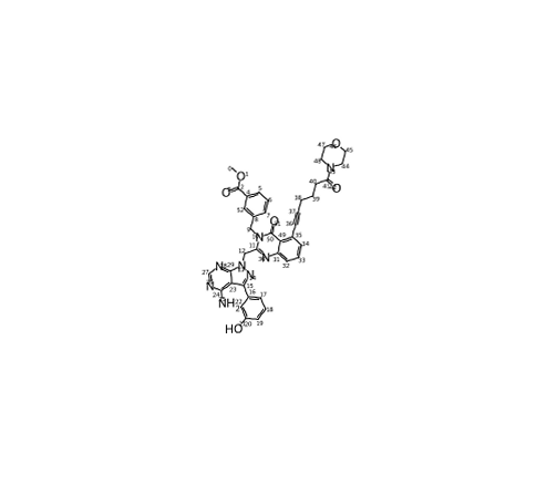 COC(=O)c1cccc(Cn2c(Cn3nc(-c4cccc(O)c4)c4c(N)ncnc43)nc3cccc(C#CCCCC(=O)N4CCOCC4)c3c2=O)c1